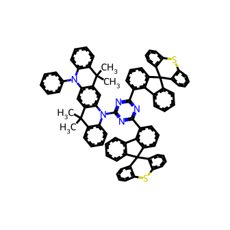 CC1(C)c2ccccc2N(c2ccccc2)c2cc3c(cc21)N(c1nc(-c2cccc4c2-c2ccccc2C42c4ccccc4Sc4ccccc42)nc(-c2cccc4c2-c2ccccc2C42c4ccccc4Sc4ccccc42)n1)c1ccccc1C3(C)C